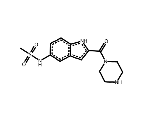 CS(=O)(=O)Nc1ccc2[nH]c(C(=O)N3CCNCC3)cc2c1